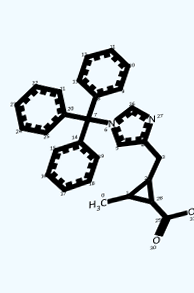 CC1C(Cc2cn(C(c3ccccc3)(c3ccccc3)c3ccccc3)cn2)C1C(=O)O